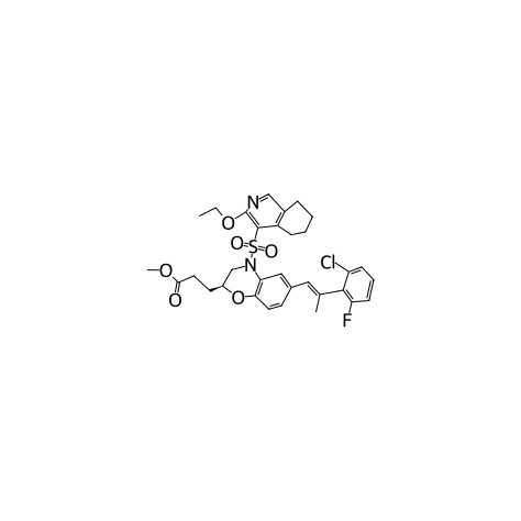 CCOc1ncc2c(c1S(=O)(=O)N1C[C@H](CCC(=O)OC)Oc3ccc(/C=C(\C)c4c(F)cccc4Cl)cc31)CCCC2